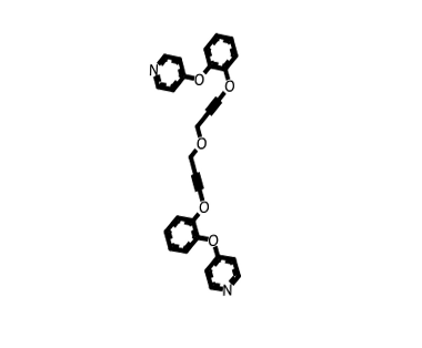 C(#COc1ccccc1Oc1ccncc1)COCC#COc1ccccc1Oc1ccncc1